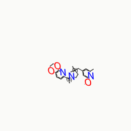 COc1cc(C[C@]2(C)CCN([C@@H](C)c3ccc4c(n3)OCCO4)C2)cc(C)n1